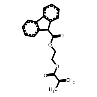 C=C(C)C(=O)OCCOC(=O)C1c2ccccc2-c2ccccc21